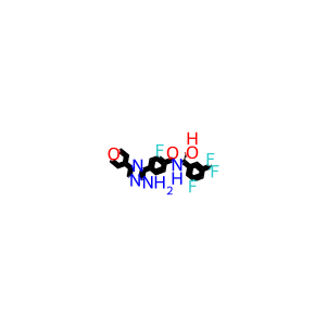 Nc1ncc(C2CCOCC2)nc1-c1ccc(C(=O)N[C@H](CO)c2cc(F)cc(C(F)F)c2)c(F)c1